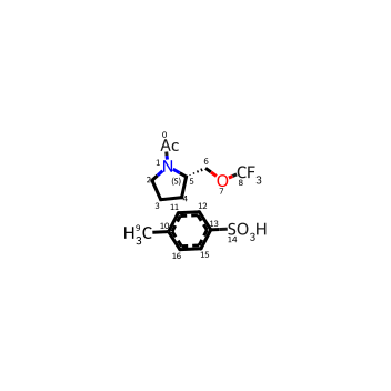 CC(=O)N1CCC[C@H]1COC(F)(F)F.Cc1ccc(S(=O)(=O)O)cc1